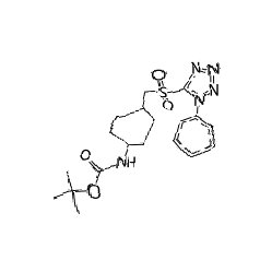 CC(C)(C)OC(=O)NC1CCC(CS(=O)(=O)c2nnnn2-c2ccccc2)CC1